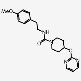 COc1ccc(CCNC(=O)N2CCC(Oc3ncccn3)CC2)cc1